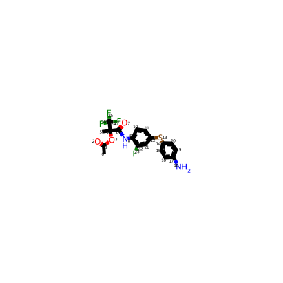 CC(=O)OC(C)(C(=O)Nc1ccc(Sc2ccc(N)cc2)cc1F)C(F)(F)F